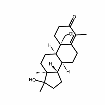 CC1=C2CC[C@@H]3[C@@H](CC[C@@]4(C)[C@H]3CCC4(C)O)[C@@]2(CO)CCC1=O